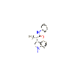 CC(C(=O)Nc1ccccc1)C1CCNc2ccccc21